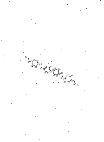 CCC[C@H]1CC[C@H](CCc2ccc(-c3ccc(CC[C@H]4CC[C@H](CCC)CC4)cc3)cc2)CC1